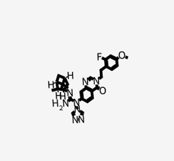 COc1ccc(CCn2cnc3cc(N(C(N)=N[C@H]4C[C@@H]5C[C@H]([C@@H]4C)C5(C)C)n4cnnc4)ccc3c2=O)c(F)c1